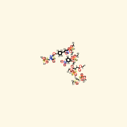 CCOC(=O)CC(SP(=S)(OC)OC)C(=O)OCC.CCOP(=S)(OCC)Oc1cc(-c2ccccc2)on1.CCOP(=S)(OCC)Oc1ccc([N+](=O)[O-])cc1.CC[S+]([O-])CCSP(=O)(OC)OC.COc1nn(CSP(=S)(OC)OC)c(=O)s1